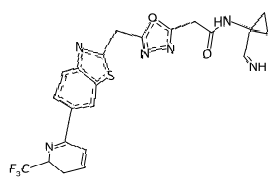 N=CC1(NC(=O)Cc2nnc(Cc3nc4ccc(C5=NC(C(F)(F)F)CC=C5)cc4s3)o2)CC1